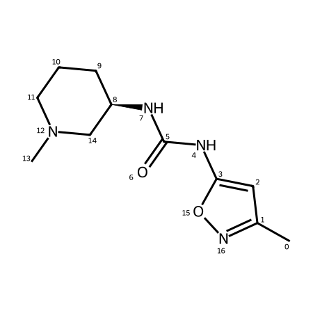 Cc1cc(NC(=O)N[C@@H]2CCCN(C)C2)on1